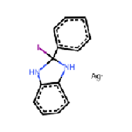 IC1(c2ccccc2)Nc2ccccc2N1.[Ag]